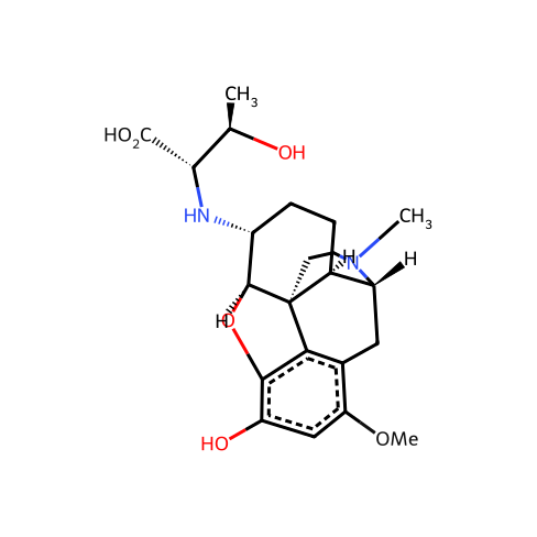 COc1cc(O)c2c3c1C[C@@H]1[C@@H]4CC[C@@H](N[C@H](C(=O)O)[C@@H](C)O)[C@H](O2)[C@]34CCN1C